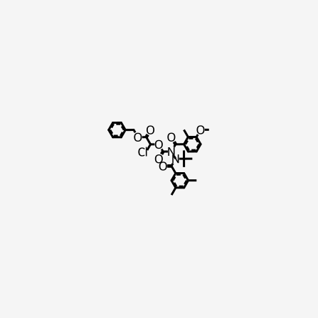 COc1cccc(C(=O)N(C(=O)OC(Cl)C(=O)OCc2ccccc2)N(C(=O)c2cc(C)cc(C)c2)C(C)(C)C)c1C